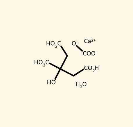 O.O=C(O)CC(O)(CC(=O)O)C(=O)O.O=C([O-])[O-].[Ca+2]